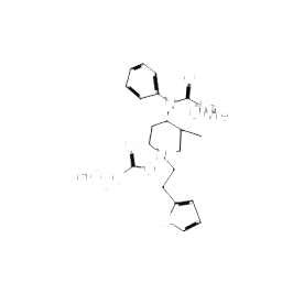 CCC(=O)N(c1ccccc1)[C@@H]1CC[N+](CCc2cccs2)(OC(=O)C(=O)O)C[C@@]1(C)OC